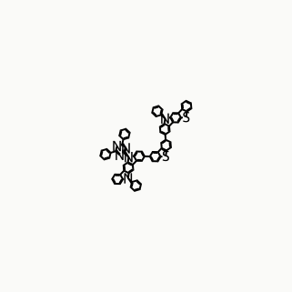 c1ccc(-c2nc(-c3ccccc3)nc(-n3c4ccc(-c5ccc6sc7ccc(-c8ccc9c(c8)c8cc%10sc%11ccccc%11c%10cc8n9-c8ccccc8)cc7c6c5)cc4c4cc5c(cc43)c3ccccc3n5-c3ccccc3)n2)cc1